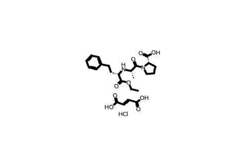 CCOC(=O)[C@H](CCc1ccccc1)N[C@@H](C)C(=O)N1CCC[C@H]1C(=O)O.Cl.O=C(O)C=CC(=O)O